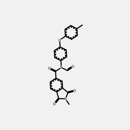 Cc1ccc(Oc2ccc(N(C=O)C(=O)c3ccc4c(c3)C(=O)N(C)C4=O)cc2)cc1